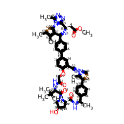 COC(=O)C[C@@H]1N=C(c2ccc(-c3ccc(OCC(=O)NC(C(=O)N4C[C@H](O)C[C@H]4C(=O)NC(C)c4ccc(-c5scnc5C)cc4)C(C)(C)C)c(C#N)c3)cc2)c2c(sc(C)c2C)-n2c(C)nnc21